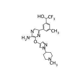 Cc1cc(-c2cnc(N)c(Oc3cnn(C4CCN(C)CC4)c3)n2)cc(C(O)C(F)(F)F)c1